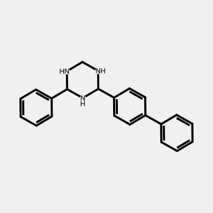 c1ccc(-c2ccc(C3NCNC(c4ccccc4)N3)cc2)cc1